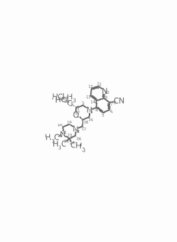 C[C@@H]1CN(c2ccc(C#N)c3ncccc23)C[C@@H](CN2CCN(C)C(C)(C)C2)O1.Cl.Cl